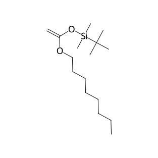 C=C(OCCCCCCCC)O[Si](C)(C)C(C)(C)C